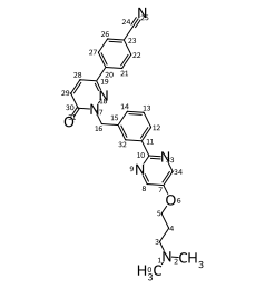 CN(C)CCCOc1cnc(-c2cccc(Cn3nc(-c4ccc(C#N)cc4)ccc3=O)c2)nc1